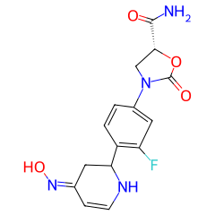 NC(=O)[C@H]1CN(c2ccc(C3CC(=NO)C=CN3)c(F)c2)C(=O)O1